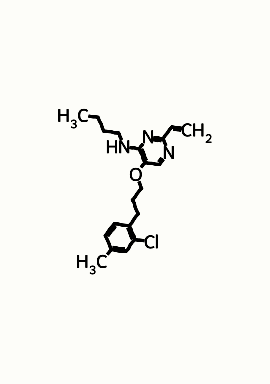 C=Cc1ncc(OCCCc2ccc(C)cc2Cl)c(NCCCC)n1